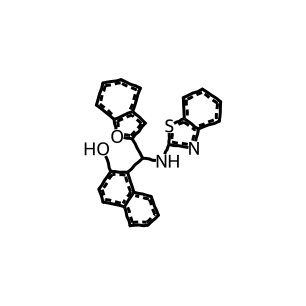 Oc1ccc2ccccc2c1C(Nc1nc2ccccc2s1)c1cc2ccccc2o1